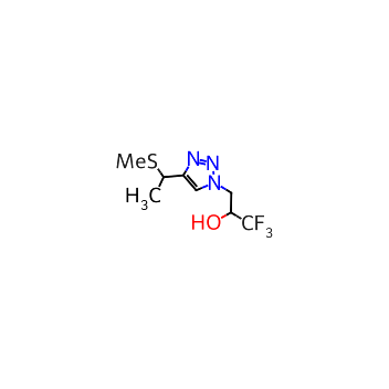 CSC(C)c1cn(CC(O)C(F)(F)F)nn1